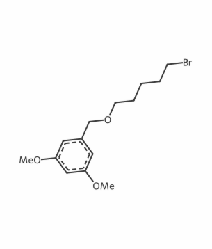 COc1cc(COCCCCCBr)cc(OC)c1